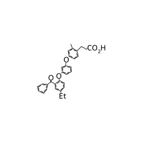 CCc1ccc(Oc2cccc(Oc3ccc(CCC(=O)O)c(C)c3)c2)c(C(=O)c2ccccc2)c1